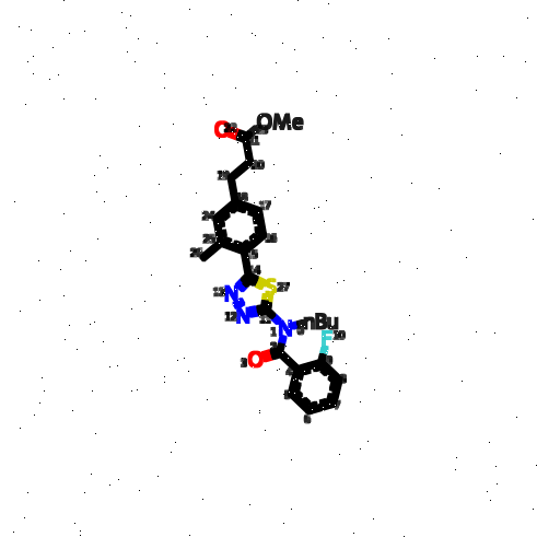 CCCCN(C(=O)c1ccccc1F)c1nnc(-c2ccc(CCC(=O)OC)cc2C)s1